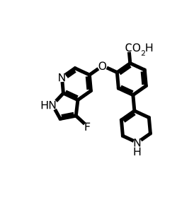 O=C(O)c1ccc(C2=CCNCC2)cc1Oc1cnc2[nH]cc(F)c2c1